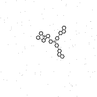 c1ccc(-c2cccc3c4c(-c5cccc(N(c6ccc(-c7ccc8c(ccc9ccccc98)c7)cc6)c6ccc(-c7ccc8c(ccc9ccccc98)c7)cc6)c5)cccc4n(-c4ccccc4)c23)cc1